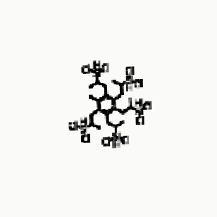 Cc1c(CC(C)[SiH](Cl)Cl)c(CC(C)[SiH](Cl)Cl)c(CC(C)[SiH](Cl)Cl)c(CC(C)[SiH](Cl)Cl)c1CC(C)[SiH](Cl)Cl